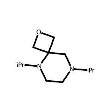 CC(C)N1CCN(C(C)C)C2(COC2)C1